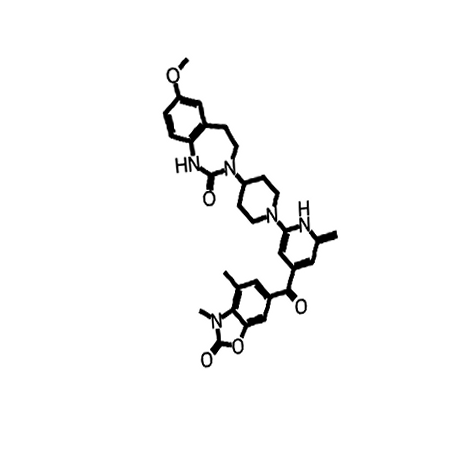 C=C1C=C(C(=O)c2cc(C)c3c(c2)oc(=O)n3C)C=C(N2CCC(N3CCc4cc(OC)ccc4NC3=O)CC2)N1